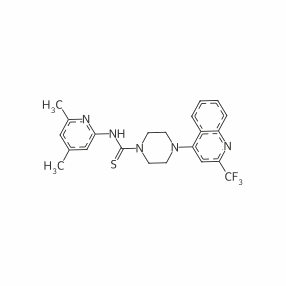 Cc1cc(C)nc(NC(=S)N2CCN(c3cc(C(F)(F)F)nc4ccccc34)CC2)c1